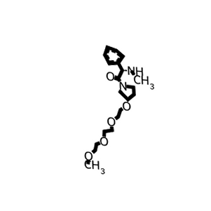 CN[C@H](C(=O)N1CC[C@H](OCCOCCOCCOC)C1)c1ccccc1